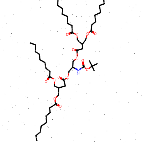 CCCCCCCCC(=O)OCC(COC(=O)CCCCCCCC)CC(=O)OCC(COC(=O)CC(COC(=O)CCCCCCCC)COC(=O)CCCCCCCC)NC(=O)OC(C)(C)C